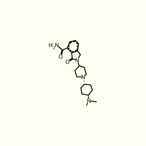 CN(C)[C@H]1CC[C@H](N2CCC(N3Cc4cccc(C(N)=O)c4C3=O)CC2)CC1